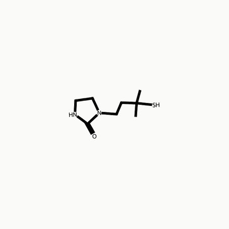 CC(C)(S)CCN1CCNC1=O